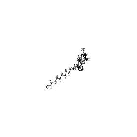 CCCCCCCCCCCCCC(=O)N1CCN(CC)C(C)C1